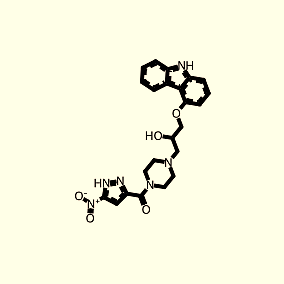 O=C(c1cc([N+](=O)[O-])[nH]n1)N1CCN(CC(O)COc2cccc3[nH]c4ccccc4c23)CC1